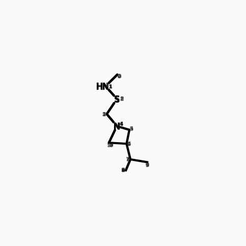 CNSCN1CC(C(C)C)C1